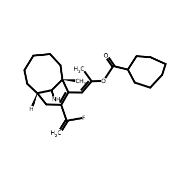 C=C(F)C1=C(/C=C(\C)OC(=O)C2CCCCCC2)[C@@]2(C)CCCCC[C@@H](C1)C2N